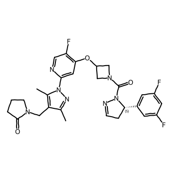 Cc1nn(-c2cc(OC3CN(C(=O)N4N=CC[C@H]4c4cc(F)cc(F)c4)C3)c(F)cn2)c(C)c1CN1CCCC1=O